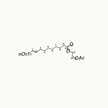 CCCCCCCCC=CCCCCCCCC(=O)OCCOC(C)=O